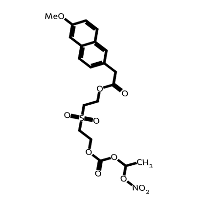 COc1ccc2cc(CC(=O)OCCS(=O)(=O)CCOC(=O)OC(C)O[N+](=O)[O-])ccc2c1